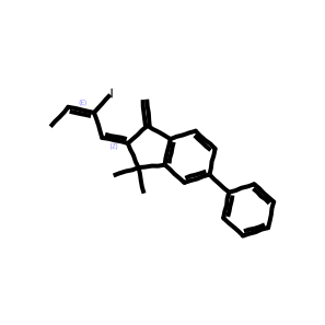 C=C1/C(=C\C(I)=C/C)C(C)(C)c2cc(-c3ccccc3)ccc21